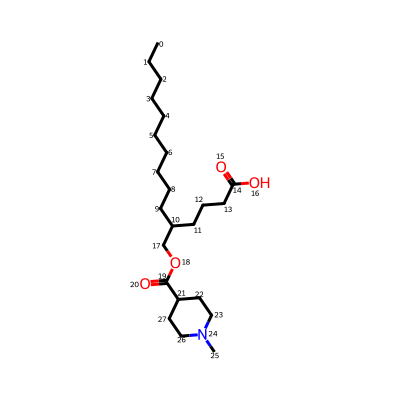 CCCCCCCCCCC(CCCC(=O)O)COC(=O)C1CCN(C)CC1